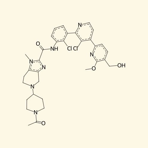 COc1nc(-c2ccnc(-c3cccc(NC(=O)c4nc5c(n4C)CCN(C4CCN(C(C)=O)CC4)C5)c3Cl)c2Cl)ccc1CO